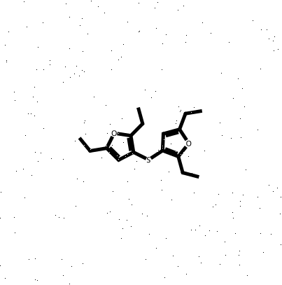 CCc1cc(Sc2cc(CC)oc2CC)c(CC)o1